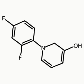 OC1=CC=CN(c2ccc(F)cc2F)C1